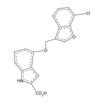 O=C(O)c1cc2c(OCc3coc4c(Cl)cccc34)cccc2[nH]1